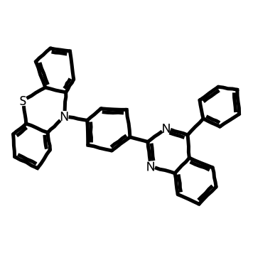 c1ccc(-c2nc(-c3ccc(N4c5ccccc5Sc5ccccc54)cc3)nc3ccccc23)cc1